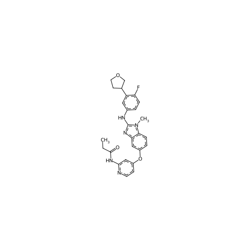 CCC(=O)Nc1cc(Oc2ccc3c(c2)nc(Nc2ccc(F)c(C4CCOC4)c2)n3C)ccn1